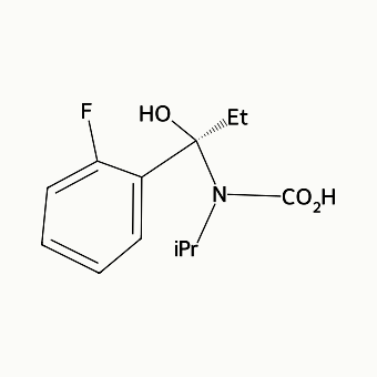 CC[C@@](O)(c1ccccc1F)N(C(=O)O)C(C)C